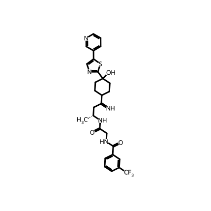 C[C@H](CC(=N)C1CCC(O)(c2ncc(-c3cccnc3)s2)CC1)NC(=O)CNC(=O)c1cccc(C(F)(F)F)c1